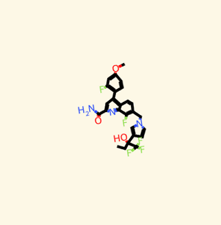 CCC(O)(c1ccn(Cc2ccc3c(-c4ccc(OC)cc4F)cc(C(N)=O)nc3c2F)c1)C(F)(F)F